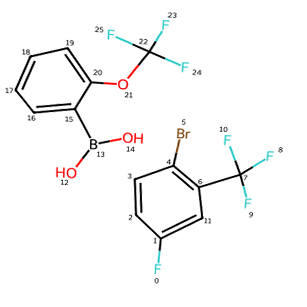 Fc1ccc(Br)c(C(F)(F)F)c1.OB(O)c1ccccc1OC(F)(F)F